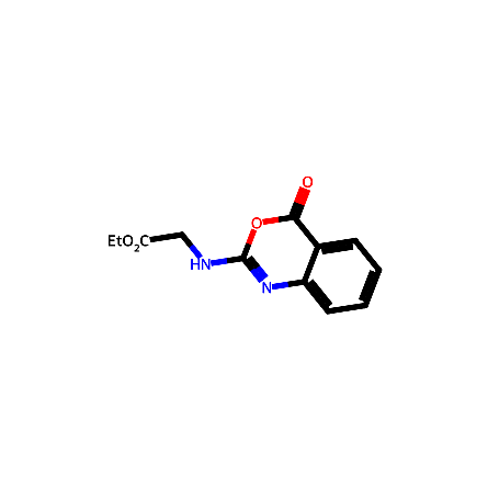 CCOC(=O)CNc1nc2ccccc2c(=O)o1